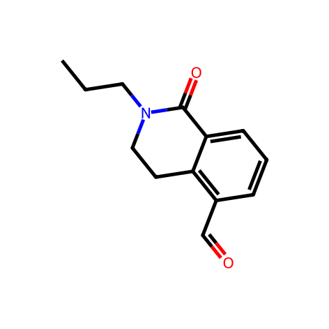 CCCN1CCc2c(C=O)cccc2C1=O